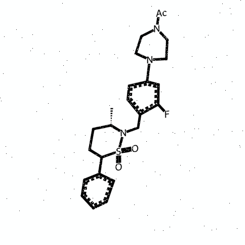 CC(=O)N1CCN(c2ccc(CN3[C@@H](C)CCC(c4ccccc4)S3(=O)=O)c(F)c2)CC1